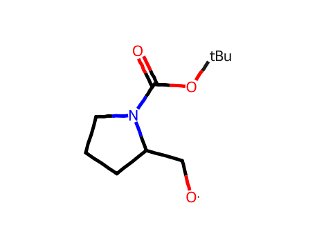 CC(C)(C)OC(=O)N1CCCC1C[O]